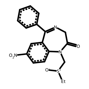 CC[S+]([O-])CN1C(=O)CN=C(c2ccccc2)c2cc([N+](=O)[O-])ccc21